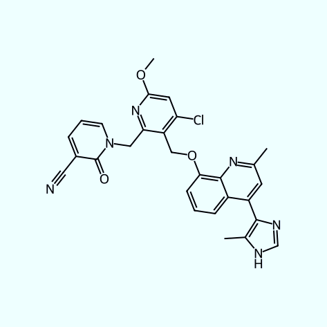 COc1cc(Cl)c(COc2cccc3c(-c4nc[nH]c4C)cc(C)nc23)c(Cn2cccc(C#N)c2=O)n1